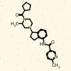 Cc1ccc(C(=O)Nc2cccc3c2CCC3N2CCN(C(=O)C3CCCC3)C(C)C2)cn1